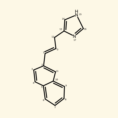 C(=Cc1ccc2ccccc2c1)Cc1c[nH]cn1